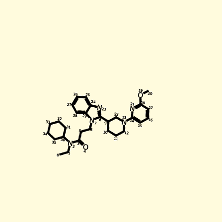 CCN(C(=O)CCn1c(C2CCCN(c3cccc(OC)n3)C2)nc2ccccc21)C1CCCCC1